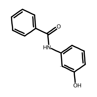 O=C(Nc1[c]c(O)ccc1)c1ccccc1